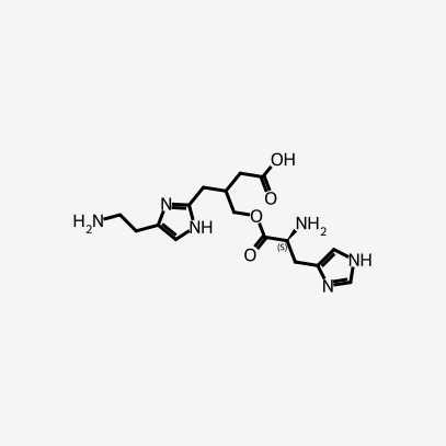 NCCc1c[nH]c(CC(COC(=O)[C@@H](N)Cc2c[nH]cn2)CC(=O)O)n1